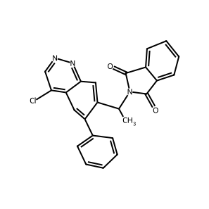 CC(c1cc2nncc(Cl)c2cc1-c1ccccc1)N1C(=O)c2ccccc2C1=O